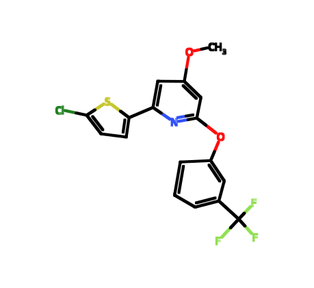 COc1cc(Oc2cccc(C(F)(F)F)c2)nc(-c2ccc(Cl)s2)c1